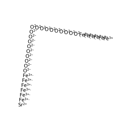 [Fe+3].[Fe+3].[Fe+3].[Fe+3].[Fe+3].[Fe+3].[Fe+3].[Fe+3].[Fe+3].[Fe+3].[Fe+3].[Fe+3].[O-2].[O-2].[O-2].[O-2].[O-2].[O-2].[O-2].[O-2].[O-2].[O-2].[O-2].[O-2].[O-2].[O-2].[O-2].[O-2].[O-2].[O-2].[O-2].[Sr+2]